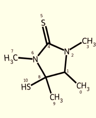 CC1N(C)C(=S)N(C)C1(C)S